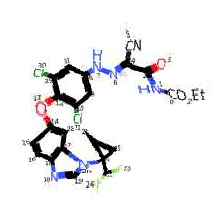 CCOC(=O)NC(=O)/C(C#N)=N/Nc1cc(Cl)c(Oc2ccc3ncn(C4(C(F)F)CC4)c3c2)c(Cl)c1